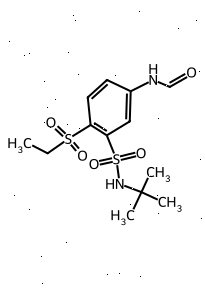 CCS(=O)(=O)c1ccc(NC=O)cc1S(=O)(=O)NC(C)(C)C